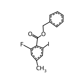 Cc1cc(F)c(C(=O)OCc2ccccc2)c(I)c1